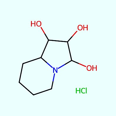 Cl.OC1C(O)C2CCCCN2C1O